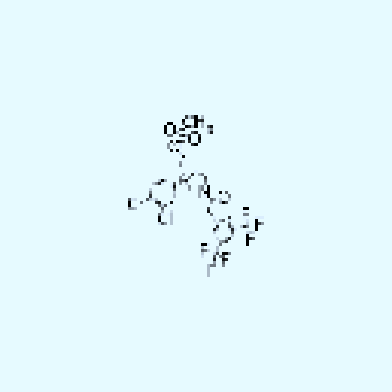 CS(=O)(=O)OCC[C@]1(c2ccc(Cl)c(Cl)c2)CCN(C(=O)Cc2cc(C(F)(F)F)cc(C(F)(F)F)c2)C1